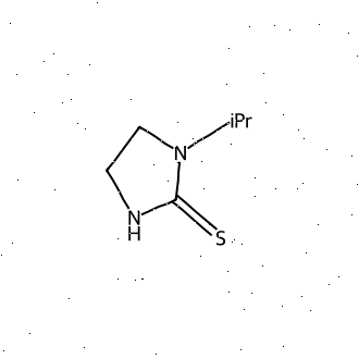 CC(C)N1CCNC1=S